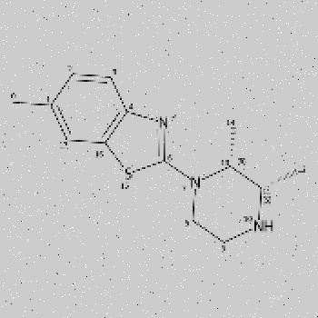 Cc1ccc2nc(N3CCN[C@@H](C)[C@H]3C)sc2c1